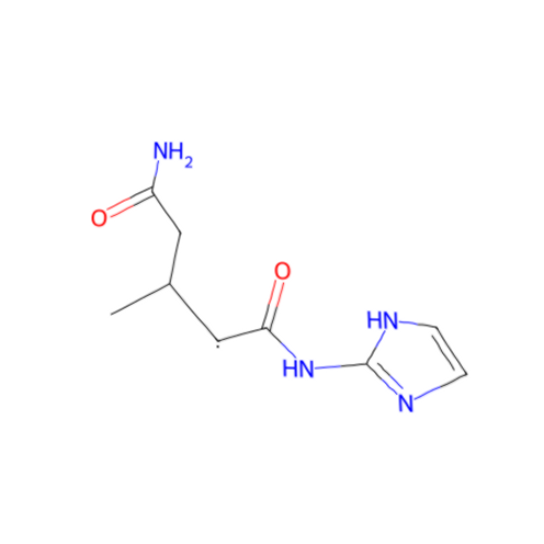 CC([CH]C(=O)Nc1ncc[nH]1)CC(N)=O